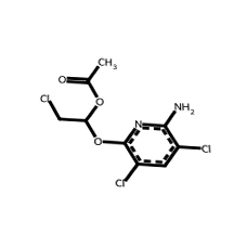 CC(=O)OC(CCl)Oc1nc(N)c(Cl)cc1Cl